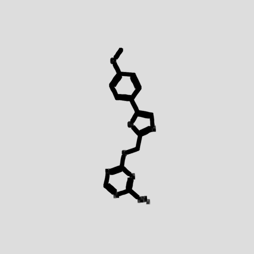 COc1ccc(-c2cnc(CSc3ncnc(N)n3)o2)cc1